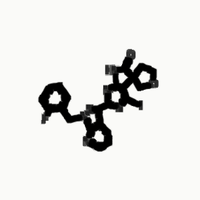 O=C1Nc2nc(-c3nn(Cc4ccccc4F)c4ncccc34)nc(I)c2C12CCOC2